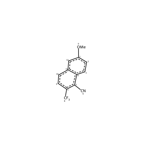 COc1ccc2c(C#N)c(C(F)(F)F)ccc2c1